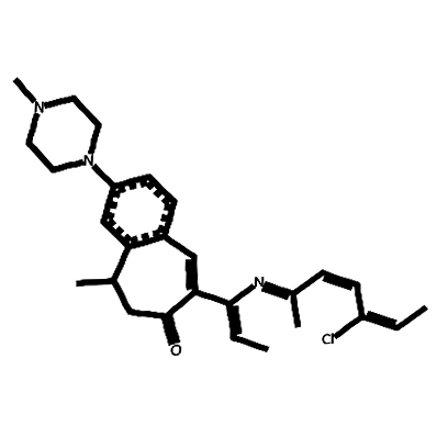 C\C=C(/N=C(C)/C=C\C(Cl)=C/C)C1=Cc2ccc(N3CCN(C)CC3)cc2C(C)CC1=O